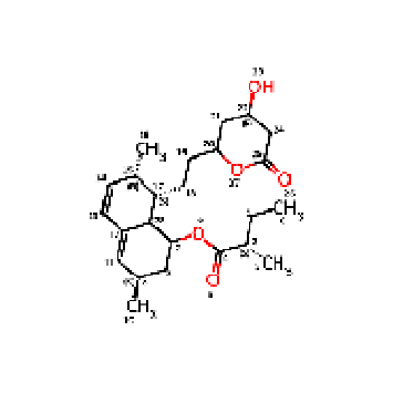 CC[C@H](C)C(=O)OC1C[C@@H](C)C=C2C=C[C@H](C)[C@H](CCC3C[C@@H](O)CC(=O)O3)C21